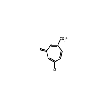 C=C1C=C(Cl)C=CC(C(=O)OCC)=C1